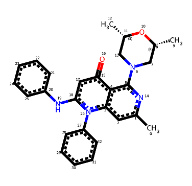 Cc1cc2c(c(N3C[C@@H](C)O[C@@H](C)C3)n1)c(=O)cc(Nc1ccccc1)n2-c1ccccc1